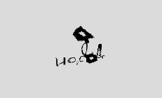 O=C(O)C(OCc1ccccc1)c1cccc(Br)c1